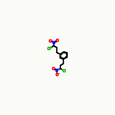 O=[N+]([O-])C(Cl)CCc1cccc(CCC(Cl)[N+](=O)[O-])c1